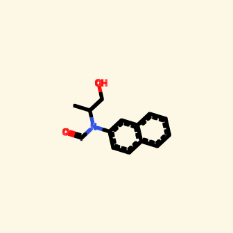 CC(CO)N([C]=O)c1ccc2ccccc2c1